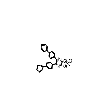 CS(=O)(=O)Oc1cnc(-c2ccc(-c3ccccc3)cc2)c(-c2ccc(-c3ccccc3)cc2)n1